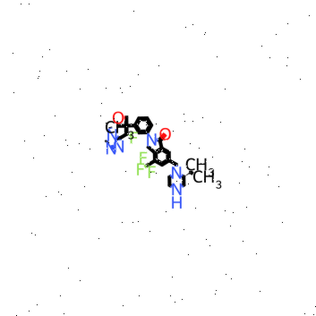 CC(C)[C@@H]1CNCCN1Cc1cc2c(c(C(F)(F)F)c1)CN(c1cccc(C3([C@H](F)c4nncn4C)COC3)c1)C2=O